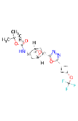 CC(C)(C)OC(=O)N[C@H]1C[C@H]2O[C@@H]1C[C@@H]2c1nnc([C@H]2C[C@@H](OC(F)(F)F)C2)o1